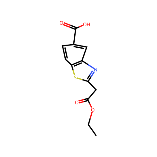 CCOC(=O)Cc1nc2cc(C(=O)O)ccc2s1